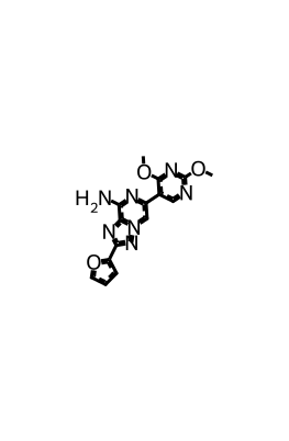 COc1ncc(-c2cn3nc(-c4ccco4)nc3c(N)n2)c(OC)n1